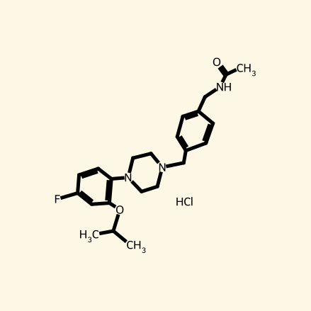 CC(=O)NCc1ccc(CN2CCN(c3ccc(F)cc3OC(C)C)CC2)cc1.Cl